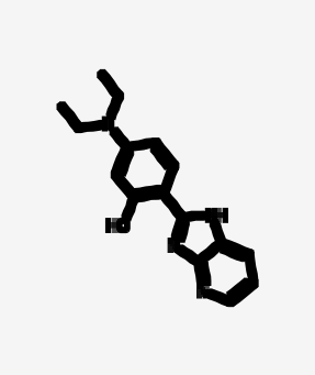 CCN(CC)c1ccc(-c2nc3ncccc3[nH]2)c(O)c1